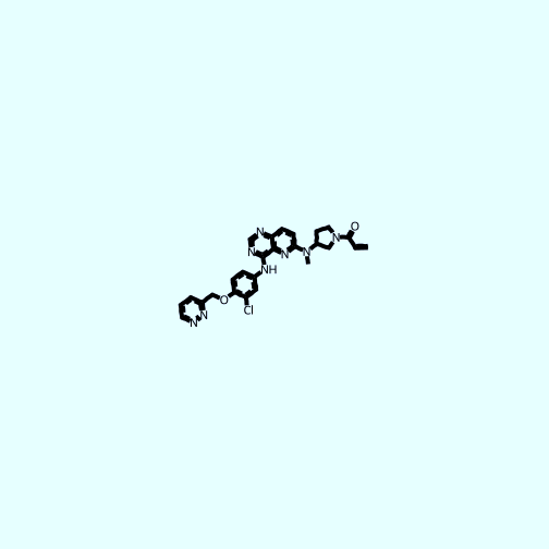 C=CC(=O)N1CCC(N(C)c2ccc3ncnc(Nc4ccc(OCc5cccnn5)c(Cl)c4)c3n2)C1